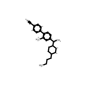 CCCCC1CCC(C(C)c2ccc(-c3ccc(C#N)cc3)c(C)c2)CC1